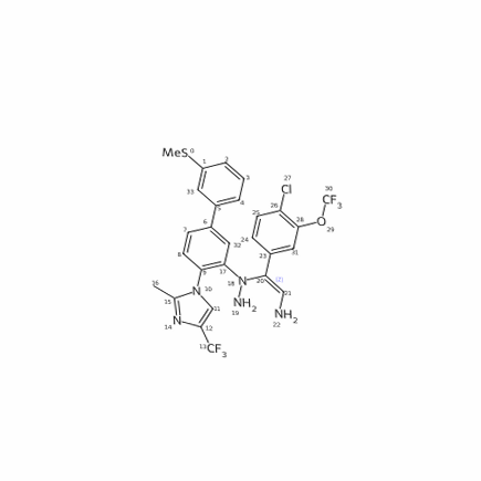 CSc1cccc(-c2ccc(-n3cc(C(F)(F)F)nc3C)c(N(N)/C(=C\N)c3ccc(Cl)c(OC(F)(F)F)c3)c2)c1